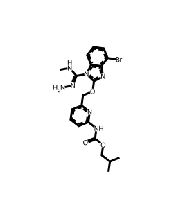 CN/C(=N\N)n1c(OCc2cccc(NC(=O)OCC(C)C)n2)nc2c(Br)cccc21